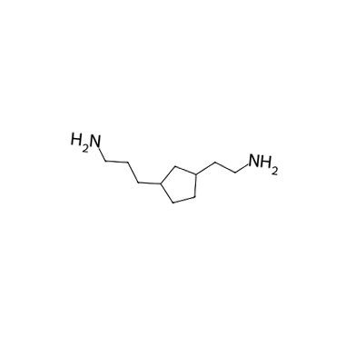 NCCCC1CCC(CCN)C1